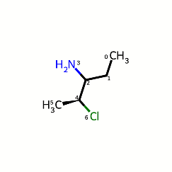 CCC(N)[C@H](C)Cl